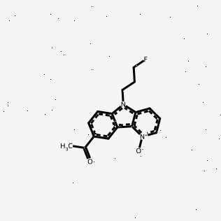 CC(=O)c1ccc2c(c1)c1c(ccc[n+]1[O-])n2CCCF